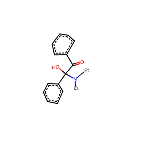 CCN(CC)C(O)(C(=O)c1ccccc1)c1ccccc1